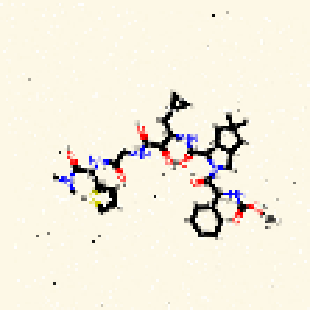 CN(C)C(=O)[C@@H](NC(=O)CNC(=O)C(=O)C(CC1CC1)NC(=O)C1C2CC(C)(C)CC2CN1C(=O)[C@@H](NC(=O)OC(C)(C)C)C1CCCCC1)c1cccs1